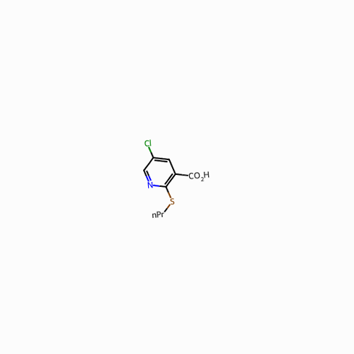 CCCSc1ncc(Cl)cc1C(=O)O